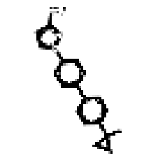 CCOC(=O)c1ccn(-c2ccc(-c3ccc(C4(C)CC4)cc3)cc2)n1